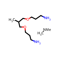 CC(COCCCN)COCCCN.CNC